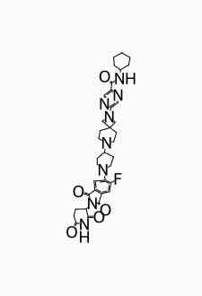 O=C1CCC(N2C(=O)c3cc(F)c(N4CCC(N5CCC6(CC5)CN(c5cnc(C(=O)NC7CCCCC7)cn5)C6)CC4)cc3C2=O)C(=O)N1